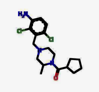 CC1CN(Cc2c(Cl)ccc(N)c2Cl)CCN1C(=O)C1CCCC1